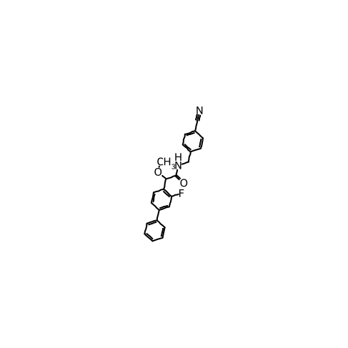 COC(C(=O)NCc1ccc(C#N)cc1)c1ccc(-c2ccccc2)cc1F